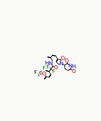 C=C(/C=C\C1=CCN(C2CCC(=O)NC2=O)C1=O)CNC(=O)C(F)(F)C(/C=C\C(=C)OC(F)(F)F)=C\F